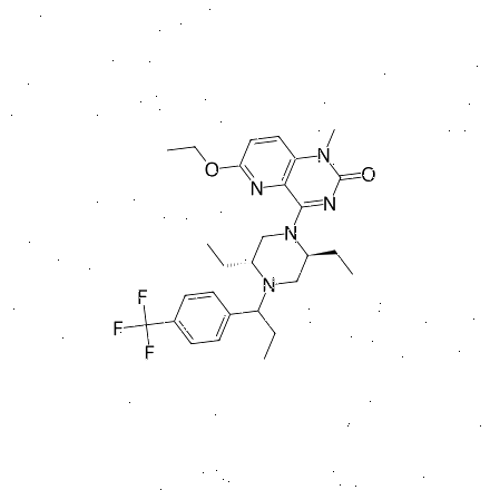 CCOc1ccc2c(n1)c(N1C[C@@H](CC)N(C(CC)c3ccc(C(F)(F)F)cc3)C[C@@H]1CC)nc(=O)n2C